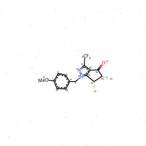 COc1ccc(Cn2nc(C(F)(F)F)c3c2[C@@H](F)[C@@H](F)C3=O)cc1